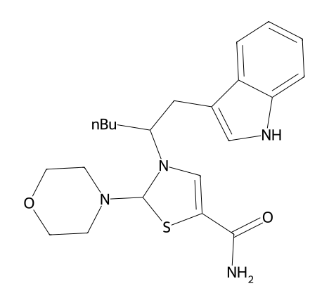 CCCCC(Cc1c[nH]c2ccccc12)N1C=C(C(N)=O)SC1N1CCOCC1